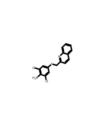 Nc1c(Cl)cc(SCc2ccc3ccccc3n2)cc1Cl